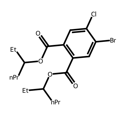 CCCC(CC)OC(=O)c1cc(Cl)c(Br)cc1C(=O)OC(CC)CCC